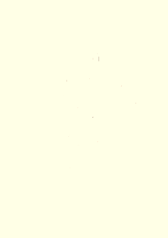 O=S(O)c1cccc(-c2ccccc2)c1-c1ccccc1